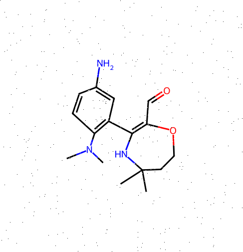 CN(C)c1ccc(N)cc1C1=C(C=O)OCCC(C)(C)N1